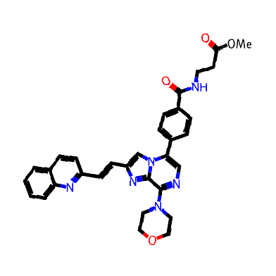 COC(=O)CCNC(=O)c1ccc(-c2cnc(N3CCOCC3)c3nc(/C=C/c4ccc5ccccc5n4)cn23)cc1